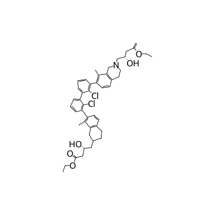 C=C(C[C@H](O)CN1CCc2ccc(-c3cccc(-c4cccc(-c5ccc6c(c5C)CC(C[C@@H](O)CC(=O)OCC)CC6)c4Cl)c3Cl)c(C)c2C1)OCC